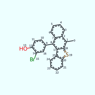 Cc1c2ccccc2c(-c2ccc(O)c(Br)c2)c2c1sc1ccccc12